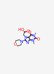 Cn1c(=O)c2c(nc(N3CCOCC3)n2CC(=O)O)n(C)c1=O